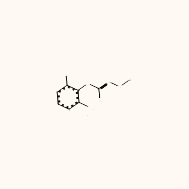 CC(C)N/N=C(\N)Nc1c(Cl)cccc1Cl.Cl